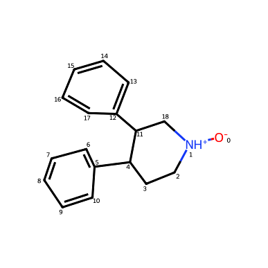 [O-][NH+]1CCC(c2ccccc2)C(c2ccccc2)C1